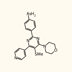 CSc1c(-c2ccncc2)nc(-c2ccc([AsH2])cc2)nc1N1CCOCC1